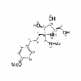 COc1ccc(CCC[C@]2(CNC(C)=O)N[C@H](CO)[C@@H](O)[C@@H]2O)cc1